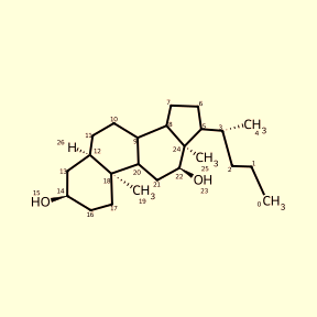 CCC[C@@H](C)C1CCC2C3CC[C@@H]4C[C@H](O)CC[C@]4(C)C3C[C@H](O)[C@@]21C